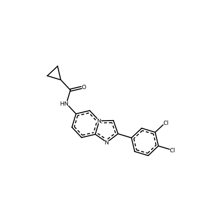 O=C(Nc1ccc2nc(-c3ccc(Cl)c(Cl)c3)cn2c1)C1CC1